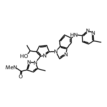 CNC(=O)c1cc(C)n(-c2nc(-n3cnc4cc(Nc5ccc(C)nn5)ccc43)ccc2C(C)O)n1